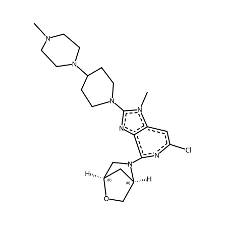 CN1CCN(C2CCN(c3nc4c(N5C[C@H]6C[C@@H]5CO6)nc(Cl)cc4n3C)CC2)CC1